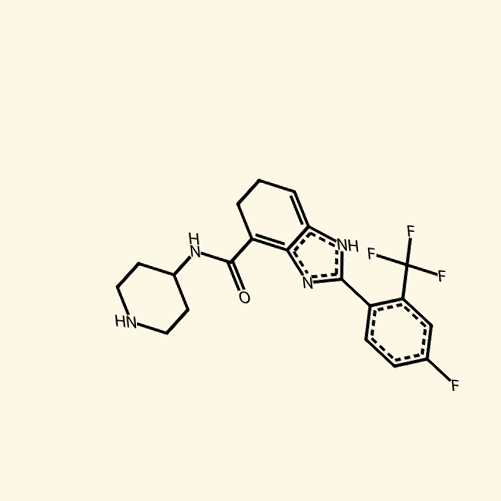 O=C(NC1CCNCC1)C1=c2nc(-c3ccc(F)cc3C(F)(F)F)[nH]c2=CCC1